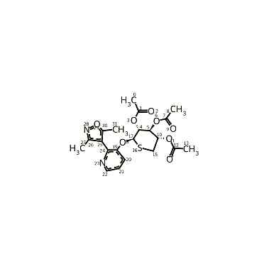 CC(=O)O[C@@H]1[C@@H](OC(C)=O)[C@H](OC(C)=O)CS[C@H]1Oc1cccnc1-c1c(C)noc1C